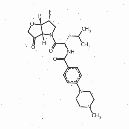 CC(C)C[C@H](NC(=O)c1ccc(N2CCN(C)CC2)cc1)C(=O)N1C[C@@H](F)[C@H]2OCC(=O)[C@H]21